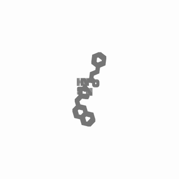 O=C(CCc1ccccc1)Nc1ncc(Cc2ccc3ccccc3c2)s1